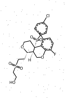 O=S(=O)(CCO)CC[C@@H]1OCC[C@@]2(S(=O)(=O)c3ccc(Cl)cc3)c3c(F)ccc(F)c3OC[C@@H]12